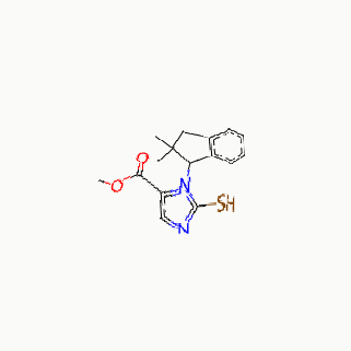 COC(=O)c1cnc(S)n1C1c2ccccc2CC1(C)C